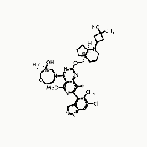 COc1nc(-c2c(C)c(Cl)cc3[nH]ncc23)c(F)c2nc(OC[C@]34CCC[C@H]3N(C3CC(C)(C#N)C3)CCC4)nc(N3CCOC[C@@](C)(O)C3)c12